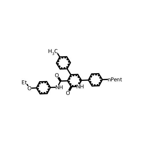 CCCCCc1ccc(-c2cc(-c3ccc(C)cc3)c(C(=O)Nc3ccc(OCC)cc3)c(=O)[nH]2)cc1